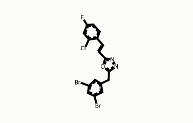 Fc1ccc(/C=C/c2nnc(Cc3cc(Br)cc(Br)c3)o2)c(Cl)c1